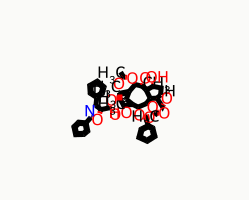 CC(=O)O[C@H]1C(=O)[C@@]2(C)C(C[C@H](OC(=O)c3ccccc3)[C@]3(O)C[C@H](OC(=O)C4OC(c5ccccc5)=NC4c4ccccc4)C(C)=C1C3(C)C)[C@]1(OC(C)=O)CO[C@@H]1C[C@@H]2O